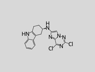 Clc1nc(Cl)c2nc(N[C@@H]3CCc4[nH]c5ccccc5c4C3)cn2n1